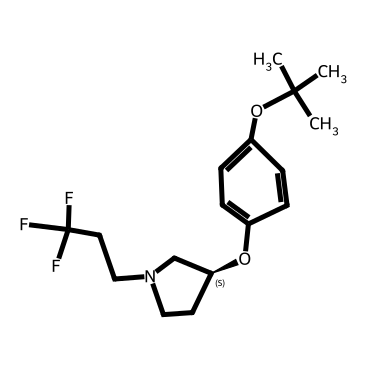 CC(C)(C)Oc1ccc(O[C@H]2CCN(CCC(F)(F)F)C2)cc1